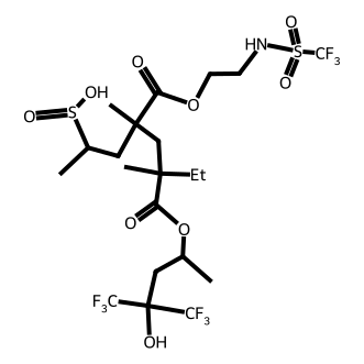 CCC(C)(CC(C)(CC(C)S(=O)O)C(=O)OCCNS(=O)(=O)C(F)(F)F)C(=O)OC(C)CC(O)(C(F)(F)F)C(F)(F)F